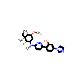 CC[C@@]1(C)C[C@@H](OC)C[C@@H](N(C)c2ccc(-c3ccc(-n4ccnc4)cc3O)nn2)[C@@H]1F